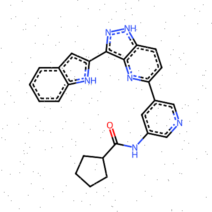 O=C(Nc1cncc(-c2ccc3[nH]nc(-c4cc5ccccc5[nH]4)c3n2)c1)C1CCCC1